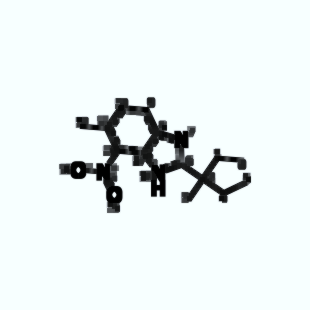 CCC(C)(CC)c1nc2ccc(C)c([N+](=O)[O-])c2[nH]1